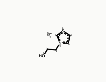 OCC[n+]1ccsc1.[Br-]